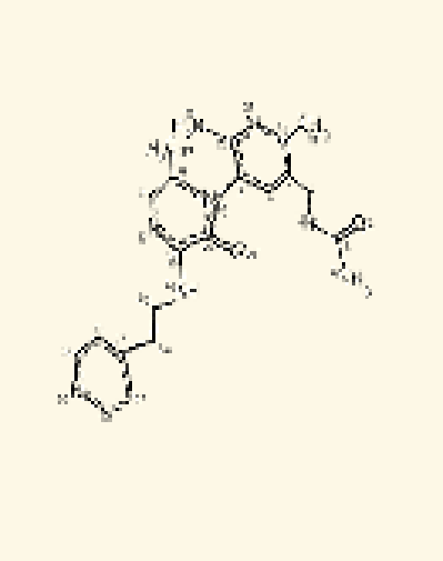 CC(=O)NCc1cc(-n2c(C)cnc(NCCc3ccncc3)c2=O)c(N)nc1C